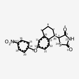 O=C1NC(=O)C([C@@H]2CCCc3cc(Oc4ccc([N+](=O)[O-])cc4)ccc32)S1